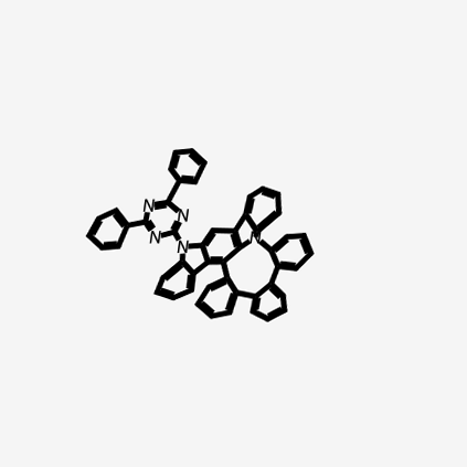 c1ccc(-c2nc(-c3ccccc3)nc(-n3c4ccccc4c4c5c6ccccc6c6ccccc6c6ccccc6n6c7ccccc7c(cc43)c56)n2)cc1